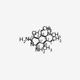 C=Cc1c(NC)c(C=C)c2c(C)c(N)nc(N)c2c1C